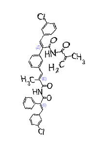 C=C(C)C(=O)NC(=O)/C(=C\c1cccc(Cl)c1)c1cccc(/C=C(\C)C(=O)NC(=O)/C(=C/c2cccc(Cl)c2)c2ccccc2)c1